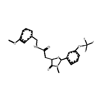 COc1cccc(CNC(=O)CC2SC(c3cccc(OC(F)(F)F)c3)N(C)C2=O)c1